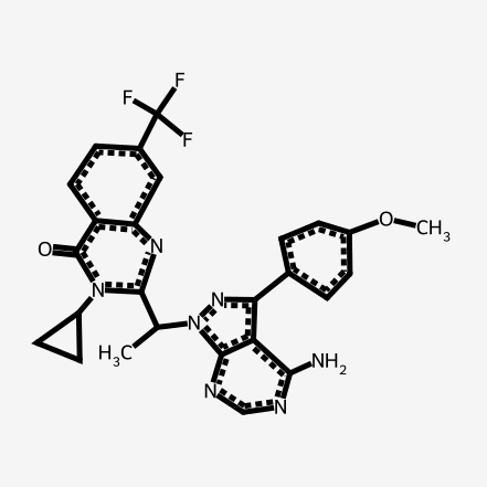 COc1ccc(-c2nn(C(C)c3nc4cc(C(F)(F)F)ccc4c(=O)n3C3CC3)c3ncnc(N)c23)cc1